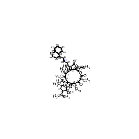 CC[C@H]1OC(=O)[C@H](C)C(=O)[C@H](C)[C@@H](O[C@@H]2O[C@H](C)CC(N(C)C)C2O)[C@](C)(OC)C[C@@H](C)C(=O)[C@H](C)[C@H]2N(NC/C=C/c3ccnc4ccccc34)C(=O)O[C@]12C